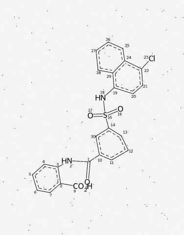 O=C(Nc1ccccc1C(=O)O)c1cccc(S(=O)(=O)Nc2ccc(Cl)c3ccccc23)c1